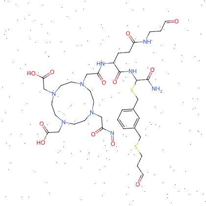 NC(=O)C(NC(=O)C(CCC(=O)NCCC=O)NC(=O)CN1CCN(CC(=O)O)CCN(CC(=O)O)CCN(CC(=O)N=O)CC1)SCc1cccc(CSCCC=O)c1